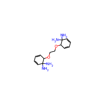 NC1(N)C=CC=CC1OCCOC1C=CC=CC1(N)N